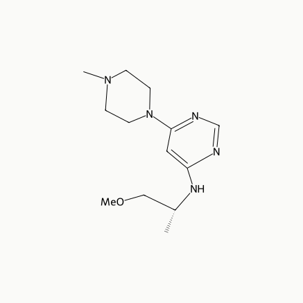 COC[C@@H](C)Nc1cc(N2CCN(C)CC2)ncn1